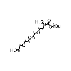 CCCCOC(=O)N(C)CCOCCOCCOCCO